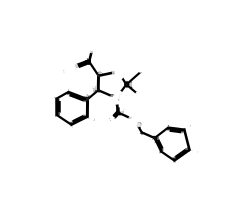 CC1(C)OC(C(=O)O)C(c2ccccc2)N1C(=O)OCc1ccccc1